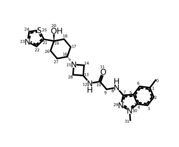 Cc1ccc2c(c1)c(NCC(=O)NC1CN([C@H]3CC[C@@](O)(c4cncs4)CC3)C1)nn2C